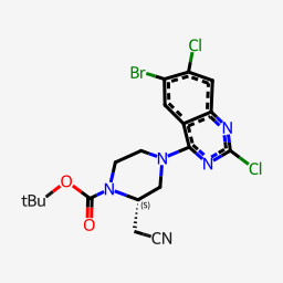 CC(C)(C)OC(=O)N1CCN(c2nc(Cl)nc3cc(Cl)c(Br)cc23)C[C@@H]1CC#N